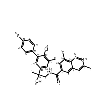 Cc1cc2cc(C(=O)NCC(C)(O)c3cc(C)c(Cl)c(-c4ccc(F)cc4)n3)cc(C)c2nn1